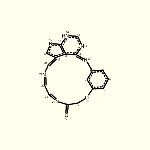 O=C1COc2cccc(c2)/N=c2/nc[nH]c3nc/c(c2=3)=C/N=C\C=N/1